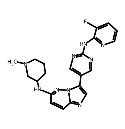 CN1CCCC(Nc2ccc3ncc(-c4cnc(Nc5ncccc5F)nc4)n3n2)C1